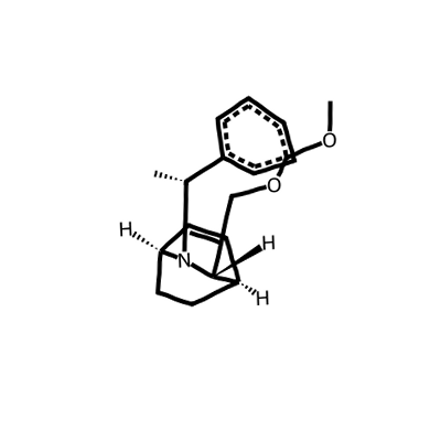 COCOC[C@@H]1[C@H]2C=C[C@H](CC2)N1[C@H](C)c1ccccc1